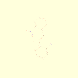 Nc1ccccc1/C=C/c1ccccc1[N+](=O)[O-]